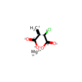 C=CC(=O)[O-].O=C([O-])CCl.[Mg+2]